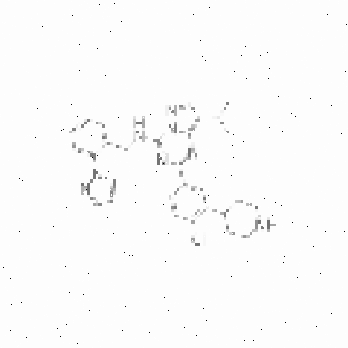 CC(C)c1cnn2c(NCc3ccccc3-n3cccn3)nc(-c3ccc(Cl)c(C4CCNCC4)c3)nc12